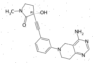 CN1CC[C@@](O)(C#Cc2cccc(N3CCc4ncnc(N)c4C3)c2)C1=O